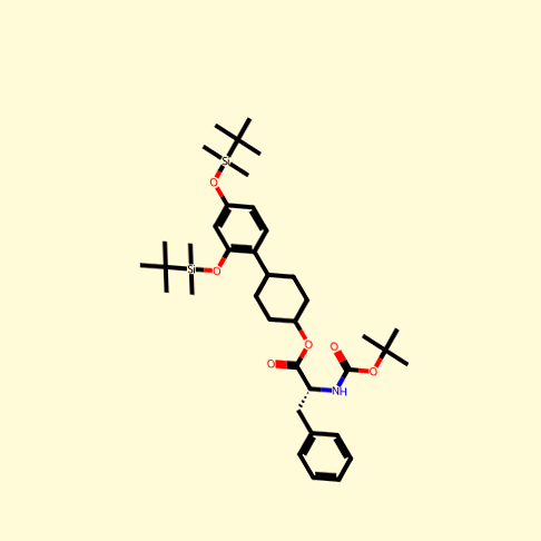 CC(C)(C)OC(=O)N[C@H](Cc1ccccc1)C(=O)OC1CCC(c2ccc(O[Si](C)(C)C(C)(C)C)cc2O[Si](C)(C)C(C)(C)C)CC1